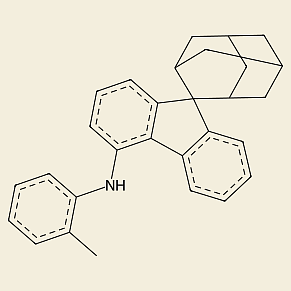 Cc1ccccc1Nc1cccc2c1-c1ccccc1C21C2CC3CC(C2)CC1C3